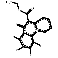 CCOC(=O)c1c(=O)c2c(F)c(F)c(F)c(F)c2n2ccccc12